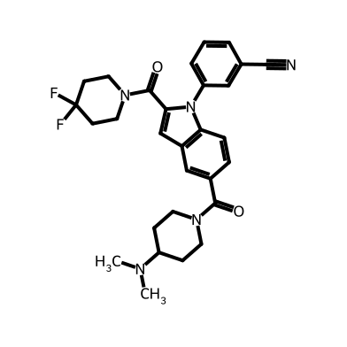 CN(C)C1CCN(C(=O)c2ccc3c(c2)cc(C(=O)N2CCC(F)(F)CC2)n3-c2cccc(C#N)c2)CC1